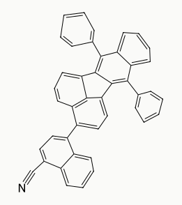 N#Cc1ccc(-c2ccc3c4c(cccc24)-c2c-3c(-c3ccccc3)c3ccccc3c2-c2ccccc2)c2ccccc12